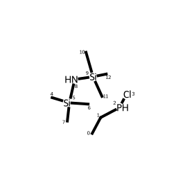 CCPCl.C[Si](C)(C)N[Si](C)(C)C